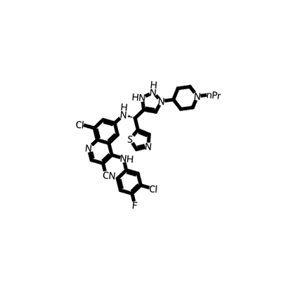 CCCN1CCC(N2C=C([C@@H](Nc3cc(Cl)c4ncc(C#N)c(Nc5ccc(F)c(Cl)c5)c4c3)c3cncs3)NN2)CC1